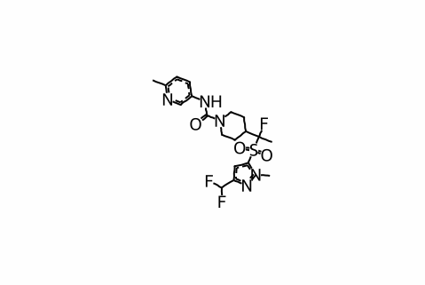 Cc1ccc(NC(=O)N2CCC(C(C)(F)S(=O)(=O)c3cc(C(F)F)nn3C)CC2)cn1